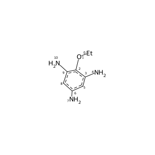 [CH2]COc1c(N)cc(N)cc1N